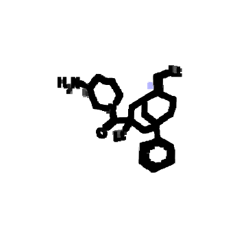 CC/C=C1\CCC2(c3ccccc3)CC1CC(CC)(C(=O)N1CCC[C@H](N)C1)C2